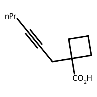 CCCC#CCC1(C(=O)O)CCC1